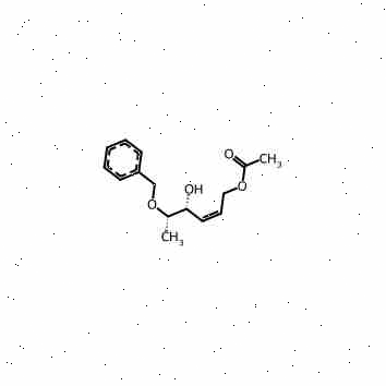 CC(=O)OC/C=C\[C@@H](O)[C@H](C)OCc1ccccc1